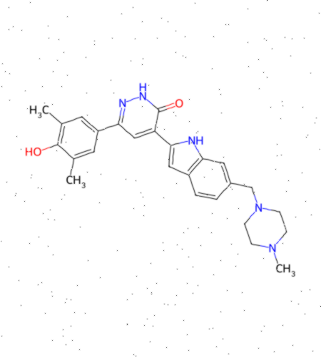 Cc1cc(-c2cc(-c3cc4ccc(CN5CCN(C)CC5)cc4[nH]3)c(=O)[nH]n2)cc(C)c1O